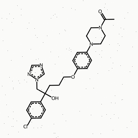 CC(=O)N1CCN(c2ccc(OCCCC(O)(Cn3cncn3)c3ccc(Cl)cc3)cc2)CC1